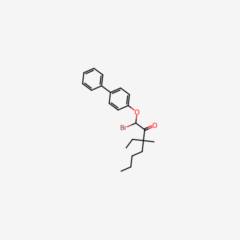 CCCCC(C)(CC)C(=O)C(Br)Oc1ccc(-c2ccccc2)cc1